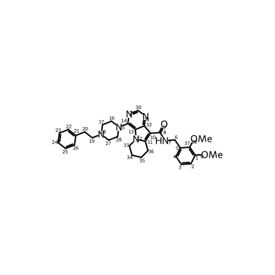 COc1cccc(CNC(=O)c2c3n(c4c(N5CCN(CCc6ccccc6)CC5)ncnc24)CCCC3)c1OC